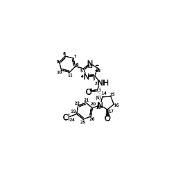 O=C(Nc1nc(-c2ccccc2)ns1)[C@@H]1CCC(=O)N1c1ccc(Cl)cc1